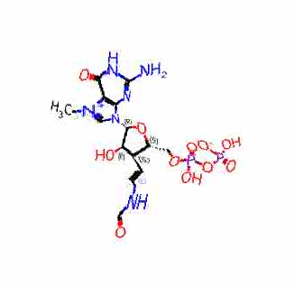 C[n+]1cn([C@@H]2O[C@H](COP(=O)(O)OP(=O)([O-])O)[C@@H](/C=C/NC=O)[C@H]2O)c2nc(N)[nH]c(=O)c21